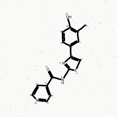 Cc1cc(-c2csc(NC(=O)c3ccncc3)n2)ccc1O